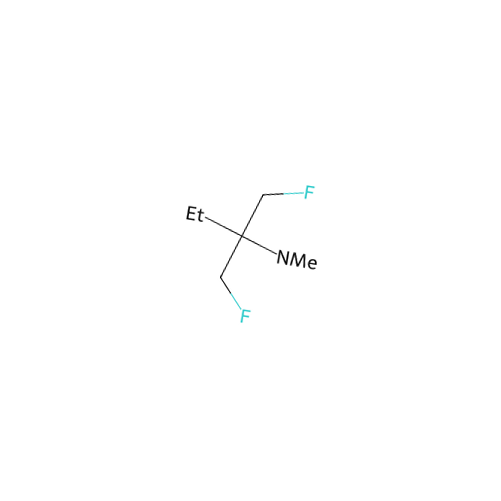 CCC(CF)(CF)NC